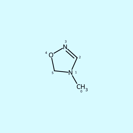 CN1C=NOC1